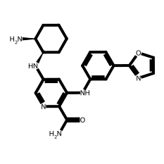 NC(=O)c1ncc(N[C@@H]2CCCC[C@@H]2N)cc1Nc1cccc(-c2ncco2)c1